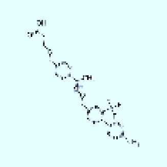 C/C(=N\OCc1ccc(-c2ccc(C)cc2)c(C(F)(F)F)c1)c1ccc(CNCCC(=O)O)cc1